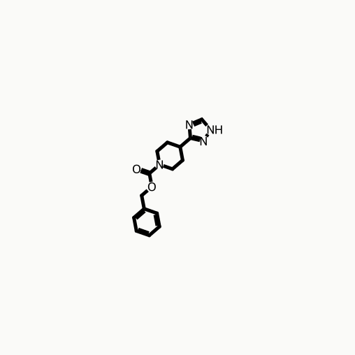 O=C(OCc1ccccc1)N1CCC(c2nc[nH]n2)CC1